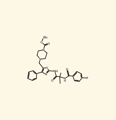 CC(C)(C)OC(=O)N1CCN(Cc2sc(NC(=O)C(C)(C)NC(=O)c3ccc(F)cc3)nc2-c2ccccc2)CC1